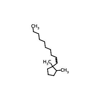 CCCCCCCC/C=C\C1(C)CCCC1C